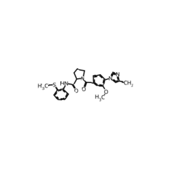 COc1cc(C(=O)N2CCCC2C(=O)Nc2ccccc2SC)ccc1-n1cnc(C)c1